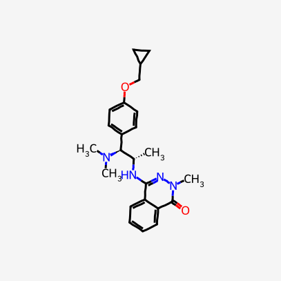 C[C@H](Nc1nn(C)c(=O)c2ccccc12)[C@H](c1ccc(OCC2CC2)cc1)N(C)C